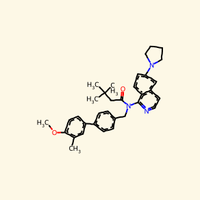 COc1ccc(-c2ccc(CN(C(=O)CC(C)(C)C)c3nccc4cc(N5CCCC5)ccc34)cc2)cc1C